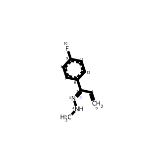 C=C/C(=N\NC)c1ccc(F)cc1